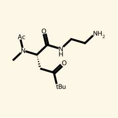 CC(=O)N(C)[C@@H](CC(=O)C(C)(C)C)C(=O)NCCN